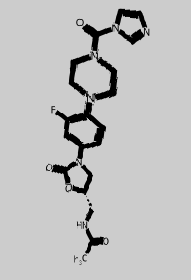 CC(=O)NC[C@H]1CN(c2ccc(N3CCN(C(=O)n4ccnc4)CC3)c(F)c2)C(=O)O1